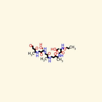 CCCON[C@@H](CC(=O)O)C(=O)CN[C@@H](C)C(=O)CCN[C@@H](C)C(=O)CN[C@@H](CO)C(=O)CN[C@@H](C)C(=O)CC=O